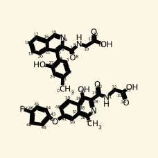 Cc1ccc(-c2c(C(=O)NCC(=O)O)ncc3ccccc23)c(O)c1.Cc1nc(C(=O)NCC(=O)O)c(O)c2ccc(Oc3ccc(F)cc3)cc12